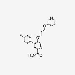 NC(=O)c1cc(-c2ccc(F)cc2)c(OCCCOc2cccnc2)cn1